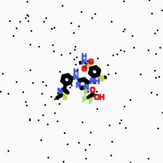 CNS(=O)(=O)c1ccc(SC)c(Nc2cc(Nc3cccc(-c4csc(C)n4)c3)ncn2)c1.O=C(O)C(F)(F)F